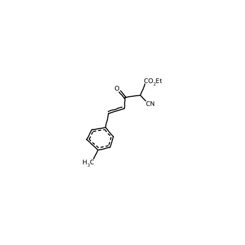 CCOC(=O)C(C#N)C(=O)C=Cc1ccc(C)cc1